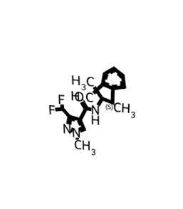 C[C@H]1c2ccccc2C(C)(C)C1NC(=O)c1cn(C)nc1C(F)F